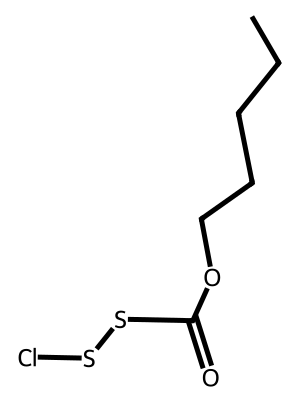 CCCCCOC(=O)SSCl